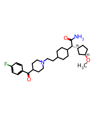 CO[C@@H]1CC[C@@H](C(C(N)=O)C2CCC(CCN3CCC(C(=O)c4ccc(F)cc4)CC3)CC2)C1